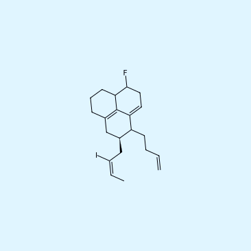 C=CCCC1C2=CCC(F)C3CCCC(=C23)C[C@@H]1C/C(I)=C\C